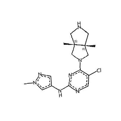 Cn1cc(Nc2ncc(Cl)c(N3C[C@]4(C)CNC[C@]4(C)C3)n2)cn1